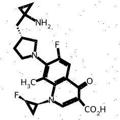 Cc1c(N2CC[C@H](CC3(N)CC3)C2)c(F)cc2c(=O)c(C(=O)O)cn([C@H]3C[C@H]3F)c12